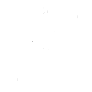 C=CCOC(=O)CC(S)SP(=O)(O)O